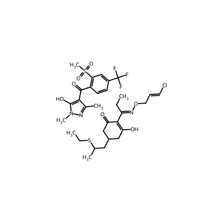 CCSC(C)CC1CC(=O)C(/C(CC)=N/OC/C=C/Cl)=C(O)C1.Cc1nn(C)c(O)c1C(=O)c1ccc(C(F)(F)F)cc1S(C)(=O)=O